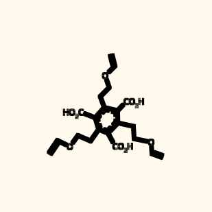 C=COCCc1c(C(=O)O)c(CCOC=C)c(C(=O)O)c(CCOC=C)c1C(=O)O